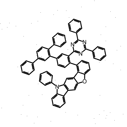 c1ccc(-c2ccc(-c3ccccc3)c(-c3ccc(-c4cccc5oc6cc7c8ccccc8n(-c8ccccc8)c7cc6c45)c(-c4nc(-c5ccccc5)nc(-c5ccccc5)n4)c3)c2)cc1